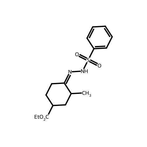 CCOC(=O)C1CCC(=NNS(=O)(=O)c2ccccc2)C(C)C1